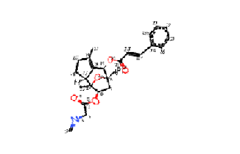 C=NCC(=O)O[C@@H]1C[C@]2(C(C)C)O[C@@]1(C)[C@@H]1CCC(C)=C1[C@@H]2OC(=O)/C=C/c1ccccc1